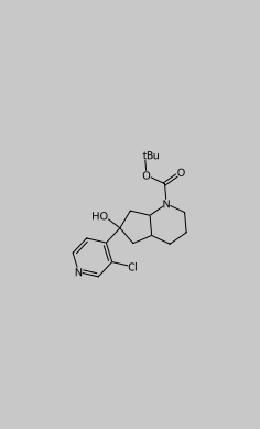 CC(C)(C)OC(=O)N1CCCC2CC(O)(c3ccncc3Cl)CC21